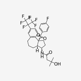 CC(C)(O)CC(=O)N[C@@H]1CC[C@@]2(S(=O)(=O)c3ccc(F)cc3)c3ccc(C(F)(C(F)(F)F)C(F)(F)F)cc3CCC[C@@H]12